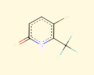 O=c1ccc(Br)c(C(F)(F)F)[nH]1